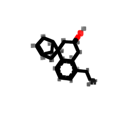 CC(C)Cc1cccc2c1CC(=O)CC21CC2=CCC1C2